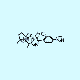 C=C(c1cnc(-c2ccc(-n3ccnc3)cc2O)nn1)C1C[C@]2(C)CC[C@@](C)(N2)[C@H]1F